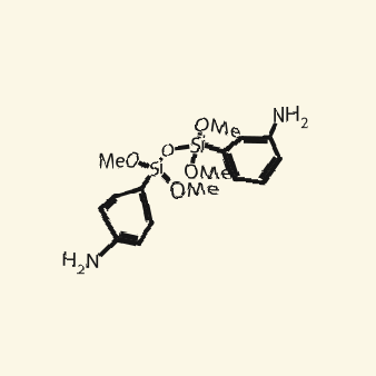 CO[Si](OC)(O[Si](OC)(OC)c1cccc(N)c1)c1ccc(N)cc1